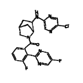 O=C(c1cccc(F)c1-c1ncc(F)cn1)N1CC2CC(Nc3cnc(Cl)cn3)C1C2